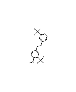 COc1ccc(COc2cccc(C(F)(F)F)c2)cc1C(F)(F)F